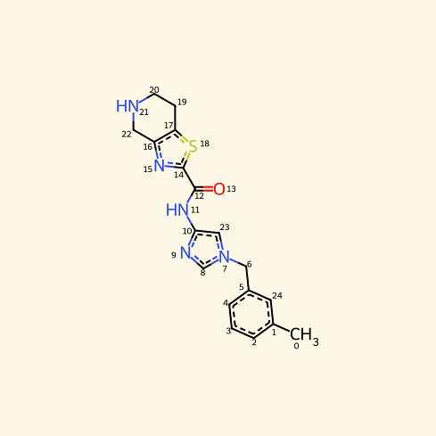 Cc1cccc(Cn2cnc(NC(=O)c3nc4c(s3)CCNC4)c2)c1